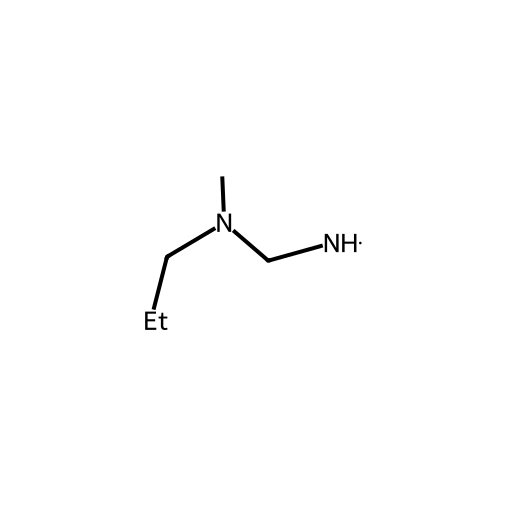 CCCN(C)C[NH]